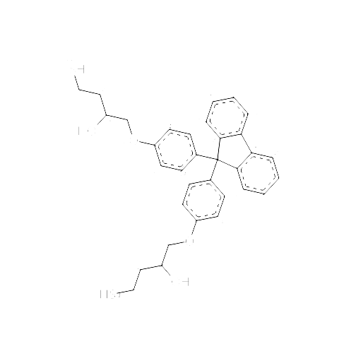 OC(CCS)COc1ccc(C2(c3ccc(OCC(O)CCS)cc3)c3ccccc3-c3ccccc32)cc1